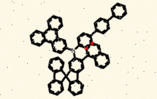 c1ccc(-c2ccc(-c3ccc(N(c4ccc5c6ccccc6c6ccccc6c5c4)c4cc5c(cc4-c4cccc6ccccc46)-c4ccccc4C54c5ccccc5-c5ccccc54)cc3)cc2)cc1